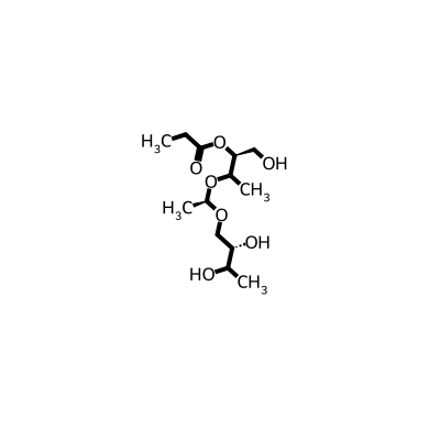 CCC(=O)O[C@@H](CO)C(C)O[C@H](C)OC[C@H](O)C(C)O